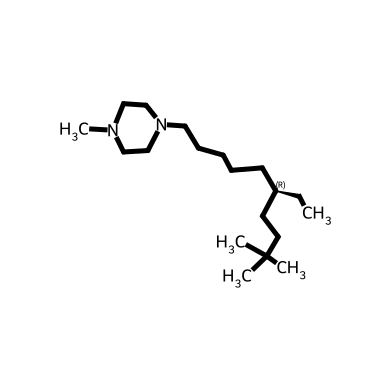 CC[C@H](CCCCCN1CCN(C)CC1)CCC(C)(C)C